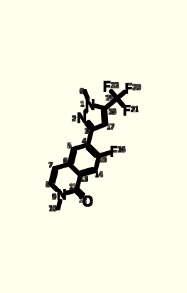 Cn1nc(-c2cc3ccn(C)c(=O)c3cc2F)cc1C(F)(F)F